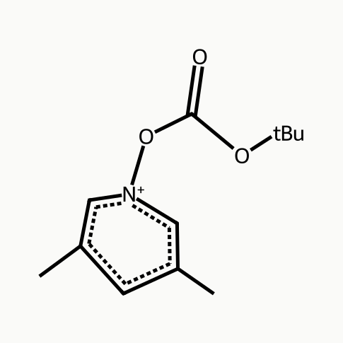 Cc1cc(C)c[n+](OC(=O)OC(C)(C)C)c1